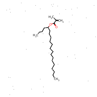 C=C(C)C(=O)OC(CCCC)CCCCCCCCCCCCCCC